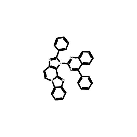 c1ccc(-c2nc(-n3c(-c4ccccc4)nc4ccn5c6ccccc6nc5c43)nc3ccccc23)cc1